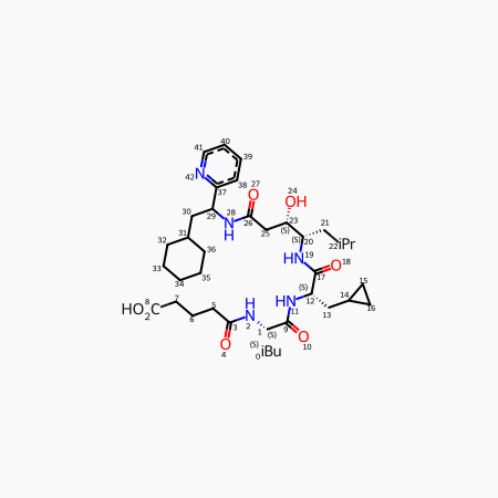 CC[C@H](C)[C@H](NC(=O)CCCC(=O)O)C(=O)N[C@@H](CC1CC1)C(=O)N[C@@H](CC(C)C)[C@@H](O)CC(=O)NC(CC1CCCCC1)c1ccccn1